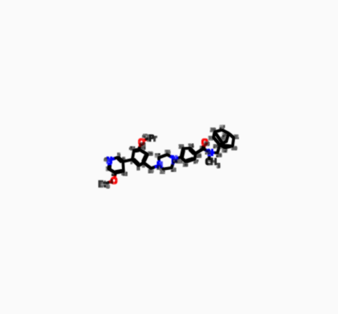 CCOc1cncc(-c2cc(CN3CCN(c4ccc(C(=O)N(C)CC56CC7CC(CC(C7)C5)C6)cc4)CC3)cc(OC(C)C)c2)c1